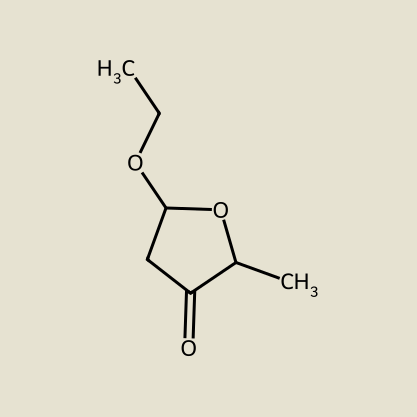 CCOC1CC(=O)C(C)O1